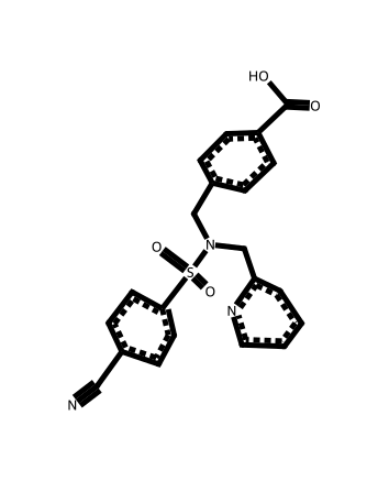 N#Cc1ccc(S(=O)(=O)N(Cc2ccc(C(=O)O)cc2)Cc2ccccn2)cc1